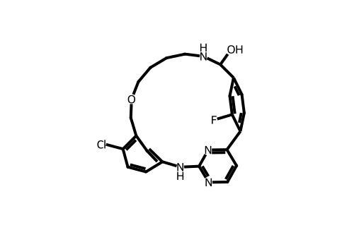 OC1NCCCCOCc2cc(ccc2Cl)Nc2nccc(n2)-c2ccc1cc2F